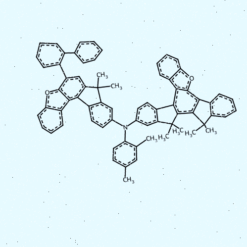 Cc1ccc(N(c2ccc3c(c2)C(C)(C)c2cc(-c4ccccc4-c4ccccc4)c4oc5ccccc5c4c2-3)c2ccc3c(c2)C(C)(C)c2c4c(c5oc6ccccc6c5c2-3)-c2ccccc2C4(C)C)c(C)c1